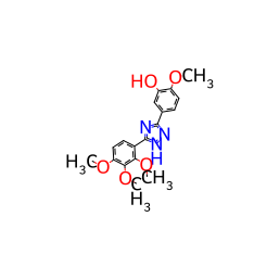 COc1ccc(-c2n[nH]c(-c3ccc(OC)c(OC)c3OC)n2)cc1O